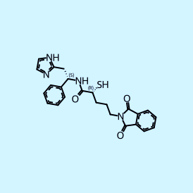 O=C(N[C@@H](Cc1ncc[nH]1)c1ccccc1)[C@H](S)CCCN1C(=O)c2ccccc2C1=O